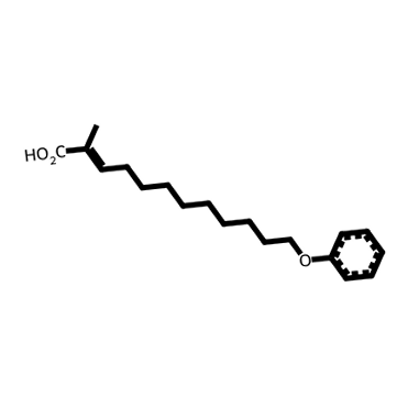 CC(=CCCCCCCCCCOc1ccccc1)C(=O)O